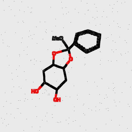 COC1(c2ccccc2)OC2CC(O)C(O)CC2O1